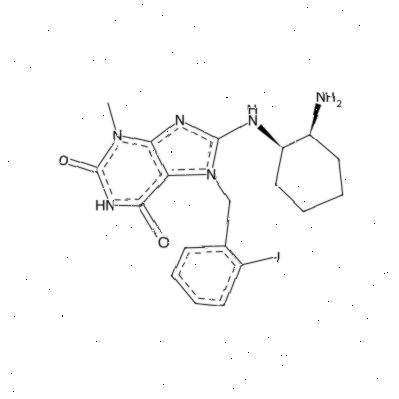 Cn1c(=O)[nH]c(=O)c2c1nc(N[C@@H]1CCCC[C@@H]1N)n2Cc1ccccc1I